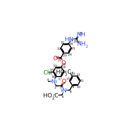 CN(CC(=O)N(CC(=O)O)Cc1cccc(C(=O)O)c1)c1ccc(OC(=O)c2ccc(NC(=N)N)cc2)cc1Cl